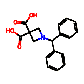 O=C(O)C1(C(=O)O)CN(C(c2ccccc2)c2ccccc2)C1